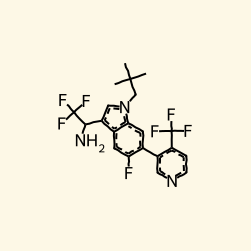 CC(C)(C)Cn1cc(C(N)C(F)(F)F)c2cc(F)c(-c3cnccc3C(F)(F)F)cc21